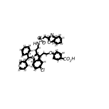 O=C(O)c1ccc(OCCc2c(CCNS(=O)(=O)Cc3nc4ccccc4o3)n(C(c3ccccc3)c3ccccc3)c3ccc(Cl)cc23)cc1